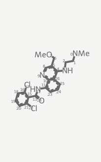 CNCCNc1c(COC)cnc2c(NC(=O)c3c(Cl)cccc3Cl)cccc12